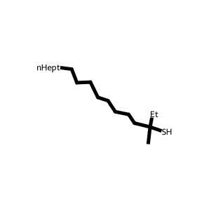 CCCCCCCCCCCCCCCC(C)(S)CC